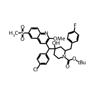 COc1nc2ccc(S(C)(=O)=O)cc2cc1C(c1ccc(Cl)cc1)C1(O)CCN(C(=O)OC(C)(C)C)C(Cc2ccc(F)cc2)C1